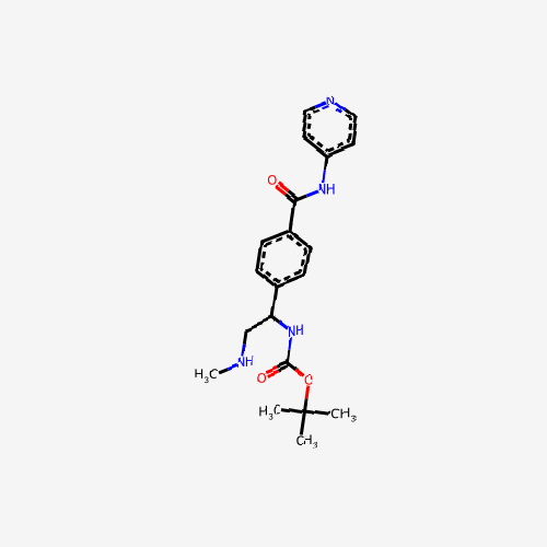 CNCC(NC(=O)OC(C)(C)C)c1ccc(C(=O)Nc2ccncc2)cc1